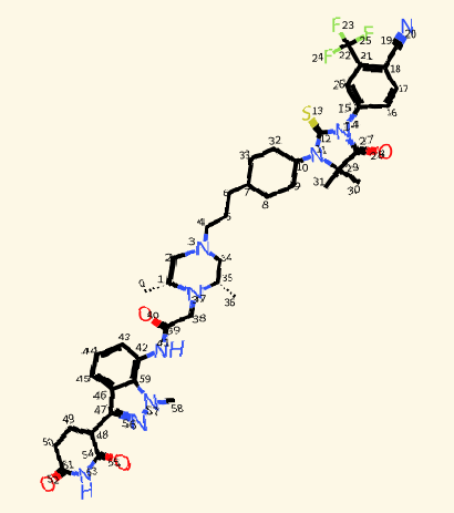 C[C@@H]1CN(CCCC2CCC(N3C(=S)N(c4ccc(C#N)c(C(F)(F)F)c4)C(=O)C3(C)C)CC2)C[C@H](C)N1CC(=O)Nc1cccc2c(C3CCC(=O)NC3=O)nn(C)c12